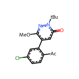 COc1nn(C(C)(C)C)c(=O)cc1-c1cc(Cl)ccc1C(C)=O